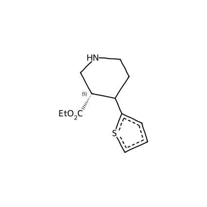 CCOC(=O)[C@@H]1CNCCC1c1cccs1